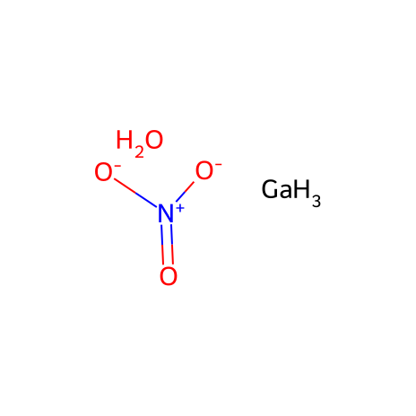 O.O=[N+]([O-])[O-].[GaH3]